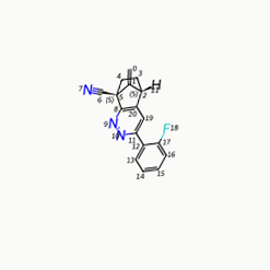 C=C1[C@@H]2CC[C@@]1(C#N)c1nnc(-c3ccccc3F)cc12